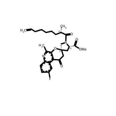 C=CCCCCC[C@H](C)C(=O)N1C[C@@]2(CC(=O)c3c(c(C)nc4ccc(F)cc34)O2)C[C@H]1C(=O)OC